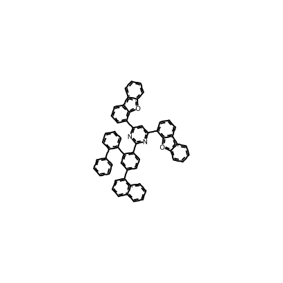 c1ccc(-c2ccccc2-c2cc(-c3cccc4ccccc34)ccc2-c2nc(-c3cccc4c3oc3ccccc34)cc(-c3cccc4c3oc3ccccc34)n2)cc1